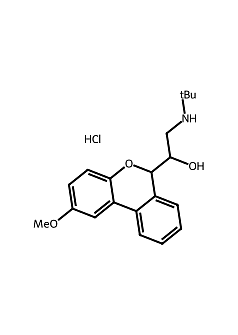 COc1ccc2c(c1)-c1ccccc1C(C(O)CNC(C)(C)C)O2.Cl